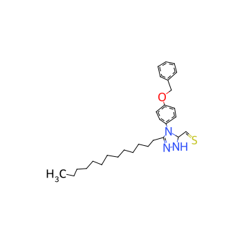 CCCCCCCCCCCCCC1=NNC(C=S)N1c1ccc(OCc2ccccc2)cc1